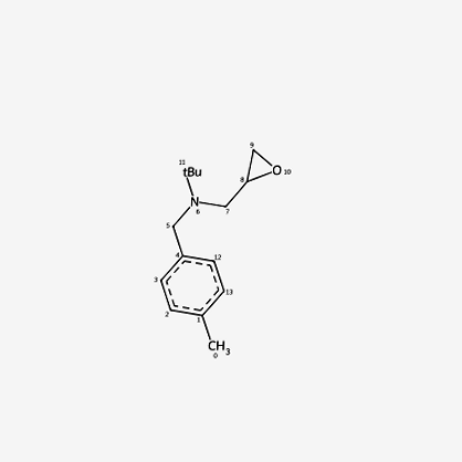 Cc1ccc(CN(CC2CO2)C(C)(C)C)cc1